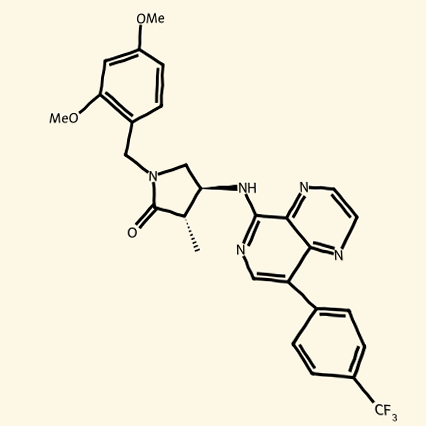 COc1ccc(CN2C[C@@H](Nc3ncc(-c4ccc(C(F)(F)F)cc4)c4nccnc34)[C@H](C)C2=O)c(OC)c1